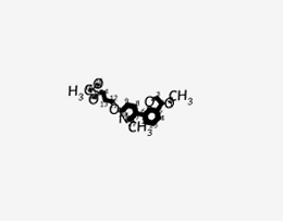 CO[C@@H]1COc2c(-c3ccc(OCCCS(C)(=O)=O)nc3C)cccc21